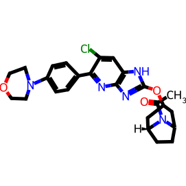 CC(=O)N1C2CC[C@@H]1CC(Oc1nc3nc(-c4ccc(N5CCOCC5)cc4)c(Cl)cc3[nH]1)C2